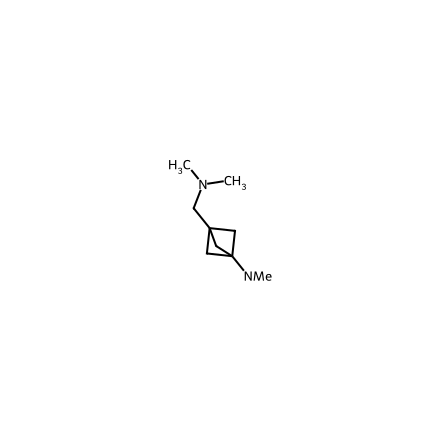 CNC12CC(CN(C)C)(C1)C2